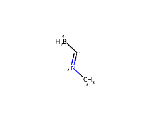 B/C=N/C